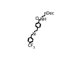 CCCCCCCCCCCCNC(=O)c1ccc(CC[N]Cc2ccc(C(F)(F)F)cc2)cc1